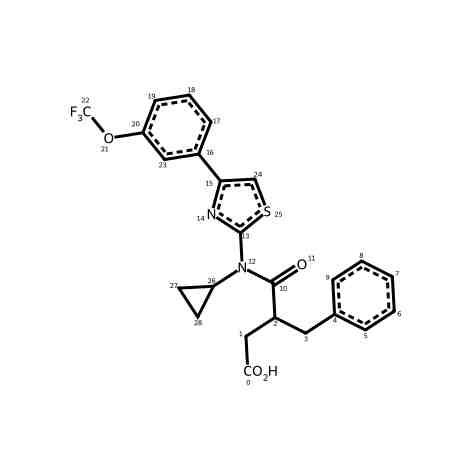 O=C(O)CC(Cc1ccccc1)C(=O)N(c1nc(-c2cccc(OC(F)(F)F)c2)cs1)C1CC1